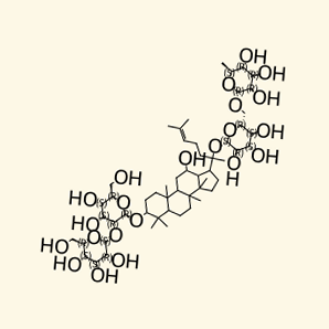 CC(C)=CCCC(C)(O[C@@H]1O[C@H](CO[C@@H]2O[C@@H](C)[C@H](O)[C@@H](O)[C@H]2O)[C@@H](O)[C@H](O)[C@H]1O)C1CCC2(C)C1C(O)CC1C3(C)CCC(O[C@@H]4O[C@H](CO)[C@@H](O)[C@H](O)[C@H]4O[C@@H]4O[C@H](CO)[C@@H](O)[C@H](O)[C@H]4O)C(C)(C)C3CCC12C